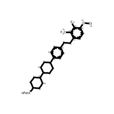 CCCCCC1CCC(C2CCC(c3ccc(CCc4ccc(OCC)c(F)c4C(F)(F)F)cc3)CC2)CC1